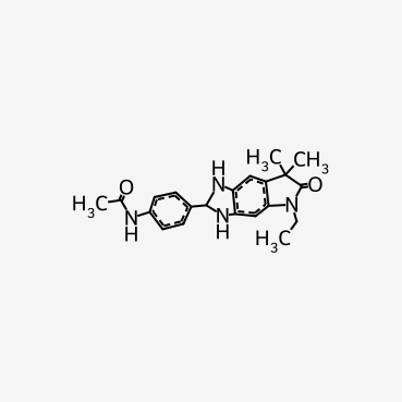 CCN1C(=O)C(C)(C)c2cc3c(cc21)NC(c1ccc(NC(C)=O)cc1)N3